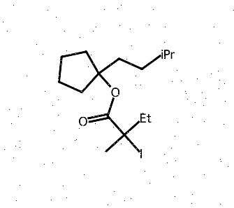 CCC(C)(I)C(=O)OC1(CCC(C)C)CCCC1